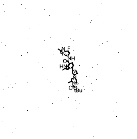 Cc1cn2cc(NC(=O)c3ccc(N4CC[C@@H](N5CC(C)N(C(=O)OC(C)(C)C)[C@@H](C)C5)C4)c4cc(C)[nH]c34)cc(F)c2n1